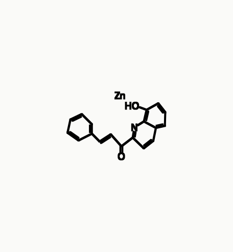 O=C(C=Cc1ccccc1)c1ccc2cccc(O)c2n1.[Zn]